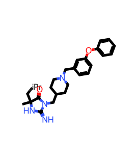 CC(C)CC1(C)NC(=N)N(CC2CCN(Cc3cccc(Oc4ccccc4)c3)CC2)C1=O